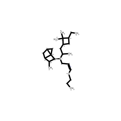 CCCO/C=C\CB(C(C)CC1CC(CC)C1(C)C)[C@H]1C(C)C2CC3CC321